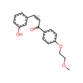 COCCOc1ccc(C(=O)/C=C\c2cccc(O)c2)cc1